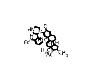 CCNc1cccnc1C1CNCCN1C1=C[C@@]2(C)C(=CC1=O)CC[C@@H]1C2=CC[C@]2(C)[C@@H](C(C)=O)C(C)C[C@@H]12